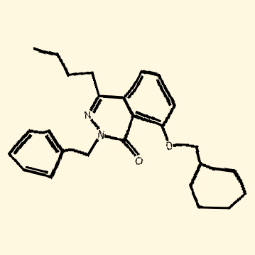 CCCCc1nn(Cc2ccccc2)c(=O)c2c(OCC3CCCCC3)cccc12